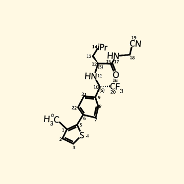 Cc1ccsc1-c1ccc([C@H](N[C@@H](CC(C)C)C(=O)NCC#N)C(F)(F)F)cc1